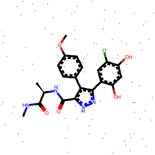 CNC(=O)[C@@H](C)NC(=O)c1[nH]nc(-c2cc(Cl)c(O)cc2O)c1-c1ccc(OC)cc1